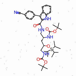 CC(C)[Si](OC(CNC(=O)OC(C)(C)C)C[C@@H](CNC(=O)c1[nH]c2ccccc2c1-c1ccc(C#N)cc1)NC(=O)OC(C)(C)C)(C(C)C)C(C)C